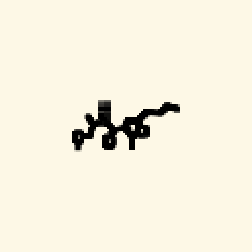 CCCCc1cc(C(=O)NC(C)COC)c(C)o1